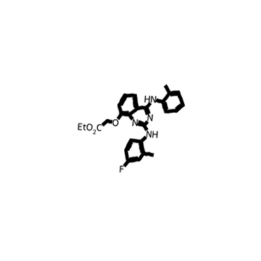 CCOC(=O)COc1cccc2c(Nc3ccccc3C)nc(Nc3ccc(F)cc3C)nc12